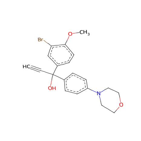 C#CC(O)(c1ccc(N2CCOCC2)cc1)c1ccc(OC)c(Br)c1